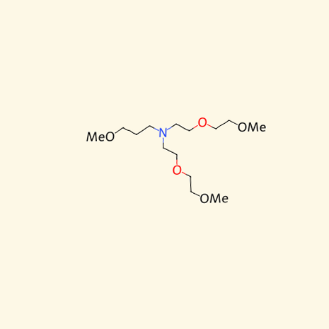 COCCCN(CCOCCOC)CCOCCOC